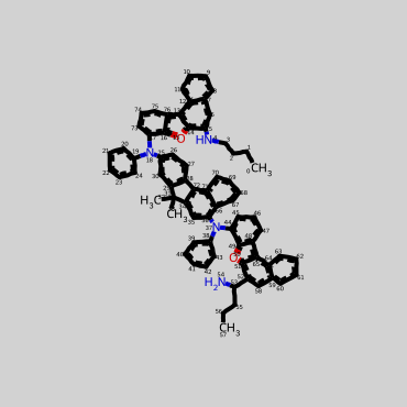 CCCCNc1cc2ccccc2c2c1oc1c(N(c3ccccc3)c3ccc4c(c3)C(C)(C)c3cc(N(c5ccccc5)c5cccc6c5oc5c(C(N)CCC)cc7ccccc7c56)c5ccccc5c3-4)cccc12